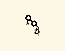 Brc1ccccc1-c1ccc(Cn2cncn2)cc1